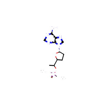 COP(=S)(OC)OC(C)C1CC[C@H](n2cnc3c(N)ncnc32)O1